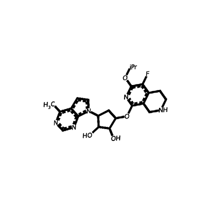 Cc1ncnc2c1ccn2C1CC(Oc2nc(OC(C)C)c(F)c3c2CNCC3)C(O)C1O